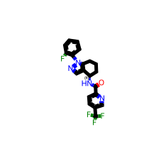 O=C(N[C@@H]1CCCc2c1cnn2-c1ccccc1F)c1ccc(C(F)(F)F)cn1